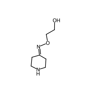 OCCON=C1CCNCC1